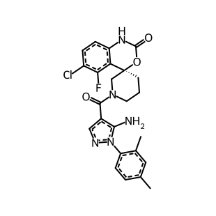 Cc1ccc(-n2ncc(C(=O)N3CCC[C@@]4(C3)OC(=O)Nc3ccc(Cl)c(F)c34)c2N)c(C)c1